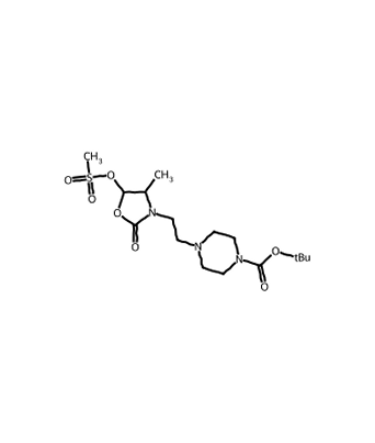 CC1C(OS(C)(=O)=O)OC(=O)N1CCN1CCN(C(=O)OC(C)(C)C)CC1